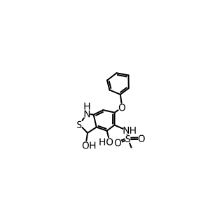 CS(=O)(=O)Nc1c(Oc2ccccc2)cc2c(c1O)C(O)SN2